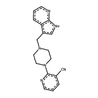 N#Cc1cccnc1N1CCN(Cc2c[nH]c3ncccc23)CC1